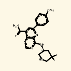 COc1ccc(-c2cc(C(N)=O)c3ncnc(N[C@@H]4CNCC(F)(F)C4)c3n2)cc1